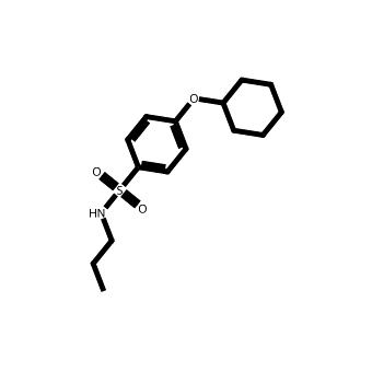 CCCNS(=O)(=O)c1ccc(OC2CCCCC2)cc1